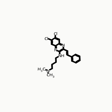 CN(C)CCCCNc1nc2cc(Cl)c(Cl)cc2nc1C=Cc1ccccc1